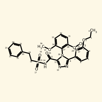 CCOc1cccc(-c2nnc(C(=O)NS(=O)(=O)CCc3ccccc3)n2-c2c(OC)cccc2OC)n1